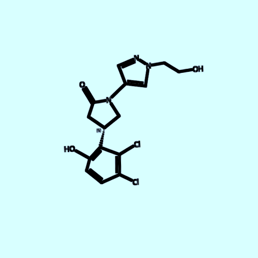 O=C1C[C@@H](c2c(O)ccc(Cl)c2Cl)CN1c1cnn(CCO)c1